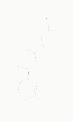 NC(=O)CNC(=O)Cn1ccc2ccc(Br)cc21